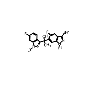 CCn1nc(C(C)C)c2cc(F)c(C(C)(C)c3nn(CC)c4cc(F)ccc34)cc21